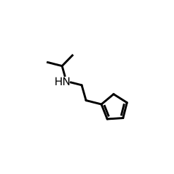 CC(C)NCCC1=CC=CC1